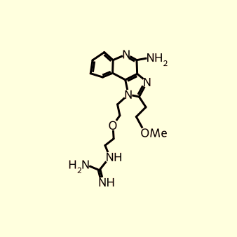 COCCc1nc2c(N)nc3ccccc3c2n1CCOCCNC(=N)N